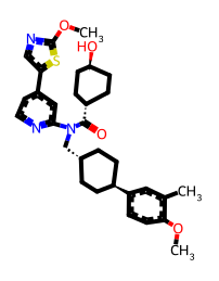 COc1ncc(-c2ccnc(N(C[C@H]3CC[C@H](c4ccc(OC)c(C)c4)CC3)C(=O)[C@H]3CC[C@H](O)CC3)c2)s1